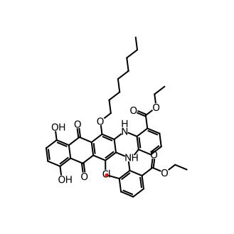 CCCCCCCCOc1c(Nc2c(C)cccc2C(=O)OCC)c(Nc2c(C)cccc2C(=O)OCC)c(Cl)c2c1C(=O)c1c(O)ccc(O)c1C2=O